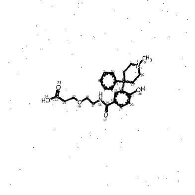 CN1CCC(c2ccccc2)(c2cc(C(=O)NCCOCCC(=O)O)ccc2O)CC1